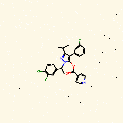 CC(C)c1nn(C(C)c2ccc(Cl)c(Cl)c2)c(OC(=O)c2ccncc2)c1-c1cccc(Cl)c1